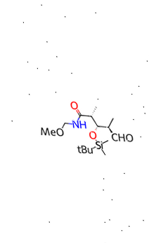 COCNC(=O)[C@H](C)[C@@H](O[Si](C)(C)C(C)(C)C)[C@@H](C)C=O